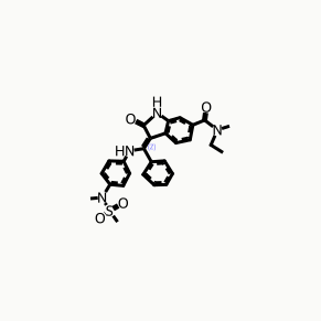 CCN(C)C(=O)c1ccc2c(c1)NC(=O)/C2=C(\Nc1ccc(N(C)S(C)(=O)=O)cc1)c1ccccc1